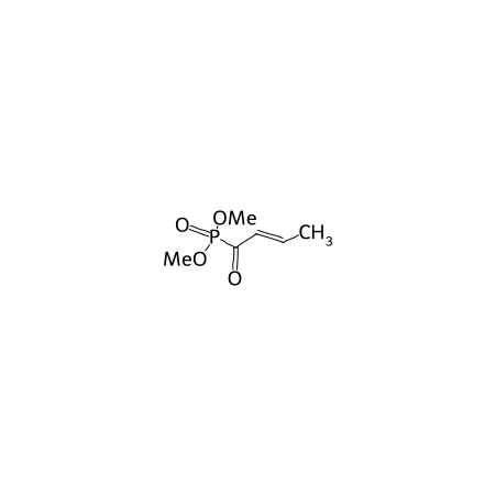 CC=CC(=O)P(=O)(OC)OC